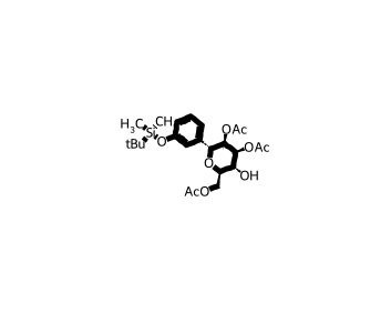 CC(=O)OC[C@H]1O[C@H](c2cccc(O[Si](C)(C)C(C)(C)C)c2)[C@@H](OC(C)=O)[C@@H](OC(C)=O)[C@@H]1O